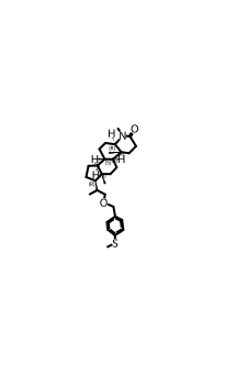 CSc1ccc(COCC(C)[C@H]2CC[C@H]3[C@@H]4CC[C@H]5N(C)C(=O)CC[C@]5(C)[C@H]4CC[C@]23C)cc1